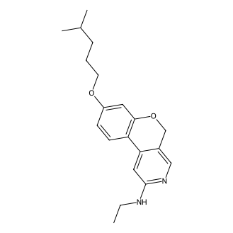 CCNc1cc2c(cn1)COc1cc(OCCCC(C)C)ccc1-2